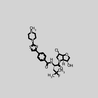 CN1CCN(c2nc(-c3ccc(C(=O)N[C@@H](CC(C)(C)F)C(=O)N4C[C@@H](Cl)C5OC[C@H](O)[C@H]54)cc3)cs2)CC1